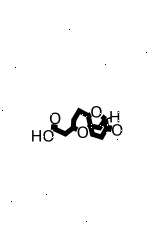 O=C(O)CC1CCC2O[C@@H]3CC2(CCC3=O)O1